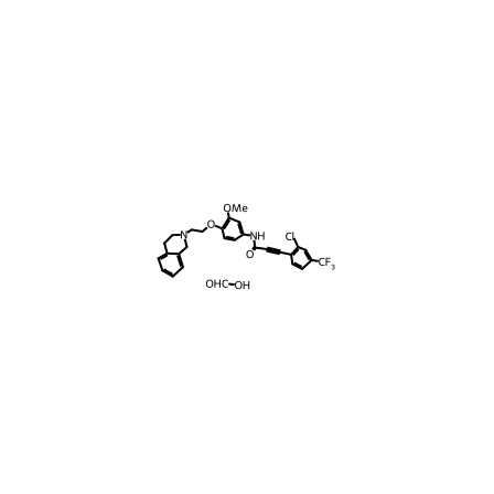 COc1cc(NC(=O)C#Cc2ccc(C(F)(F)F)cc2Cl)ccc1OCCN1CCc2ccccc2C1.O=CO